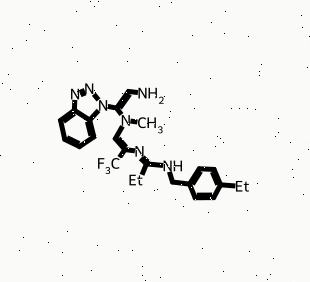 CC/C(=N\C(=C/N(C)/C(=C\N)n1nnc2ccccc21)C(F)(F)F)NCc1ccc(CC)cc1